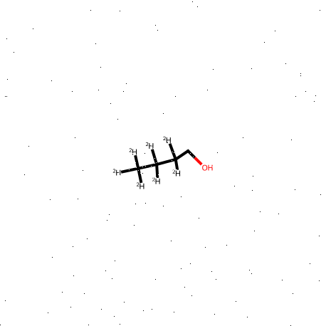 [2H]C([2H])([2H])C([2H])([2H])C([2H])([2H])CO